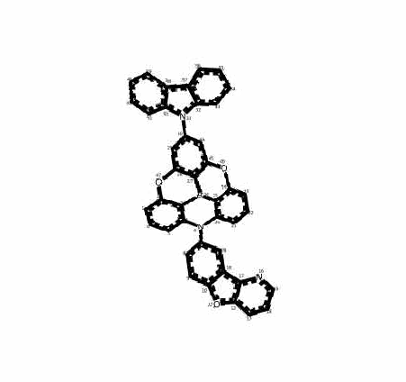 c1cc2c3c(c1)N(c1ccc4oc5cccnc5c4c1)c1cccc4c1B3c1c(cc(-n3c5ccccc5c5ccccc53)cc1O4)O2